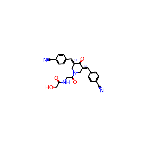 N#Cc1ccc(/C=C2\CN(C(=O)CNC(=O)CO)C/C(=C\c3ccc(C#N)cc3)C2=O)cc1